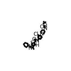 Cc1nn(C2CCCCC2)c2sc(C(=O)Nc3ccc(N4CCC(N(C)C(=O)OC(C)(C)C)CC4)c(Cl)c3)cc12